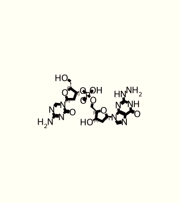 NNc1nc2c(ncn2[C@H]2C[C@@H](O)[C@@H](COP(=O)(O)O[C@@H]3C[C@H](n4cnc(N)nc4=O)O[C@@H]3CO)O2)c(=O)[nH]1